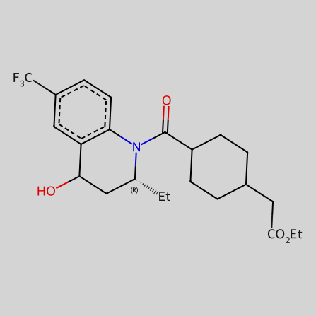 CCOC(=O)CC1CCC(C(=O)N2c3ccc(C(F)(F)F)cc3C(O)C[C@H]2CC)CC1